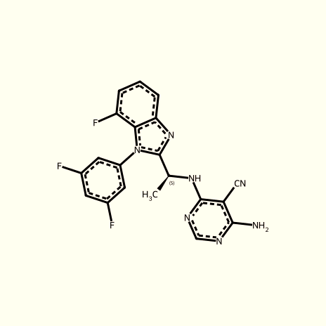 C[C@H](Nc1ncnc(N)c1C#N)c1nc2cccc(F)c2n1-c1cc(F)cc(F)c1